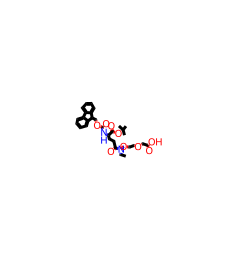 CCN(OCCOCC(=O)O)C(=O)CCC(NC(=O)OCC1c2ccccc2-c2ccccc21)C(=O)OC(C)(C)C